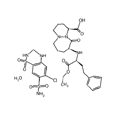 CCOC(=O)[C@H](CCc1ccccc1)N[C@H]1CCCN2CCC[C@@H](C(=O)O)N2C1=O.NS(=O)(=O)c1cc2c(cc1Cl)NCNS2(=O)=O.O